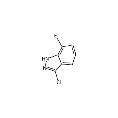 Fc1cccc2c(Cl)n[nH]c12